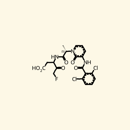 C[C@@H](C(=O)NC(CC(=O)O)C(=O)CF)n1cccc(NC(=O)c2c(Cl)cccc2Cl)c1=O